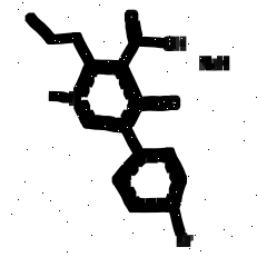 CCCc1c(C(=O)O)c(=O)c(-c2ccc(Br)cc2)cn1C.[NaH]